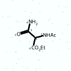 CCOC(=O)C(NC(C)=O)C(N)=O